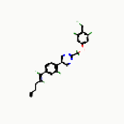 C=CCC/C(F)=C(\F)c1ccc(-c2cnc(C(F)(F)Oc3cc(F)c(CF)c(F)c3)nc2)c(F)c1